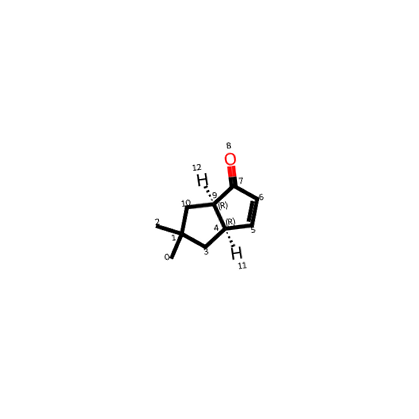 CC1(C)C[C@@H]2C=CC(=O)[C@@H]2C1